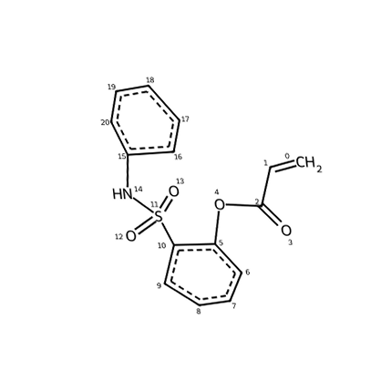 C=CC(=O)Oc1ccccc1S(=O)(=O)Nc1ccccc1